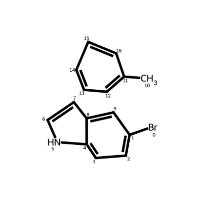 Brc1ccc2[nH]ccc2c1.Cc1ccccc1